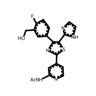 CC(=O)Nc1cc(-c2nc(-c3ccc(F)c(CO)c3)c(-c3ncc[nH]3)s2)ccn1